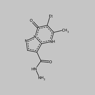 CCc1c(C)[nH]c2c(C(=O)NN)cnn2c1=O